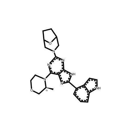 C[C@H]1COCCN1c1nc(N2CC3CCC(C2)O3)nc2[nH]c(-c3cccc4[nH]ccc34)nc12